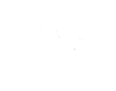 CCC(C)(C)COC(=O)C1=C(C)NC2=C(C(=O)C[C@H](c3ccccc3OC)C2)[C@@H]1c1cccc(O)c1